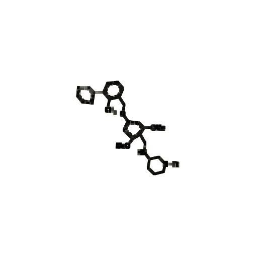 CCN1CCCC(NCc2c(OC)cc(OCc3cccc(-c4ccccc4)c3C)cc2OC)C1